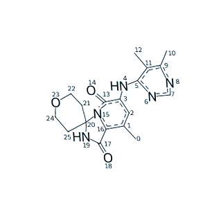 Cc1cc(Nc2ncnc(C)c2C)c(=O)n2c1C(=O)NC21CCOCC1